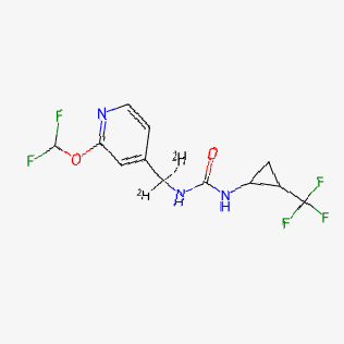 [2H]C([2H])(NC(=O)NC1CC1C(F)(F)F)c1ccnc(OC(F)F)c1